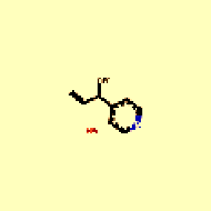 Br.C=CC(CCC)c1ccncc1